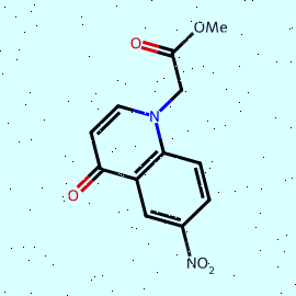 COC(=O)Cn1ccc(=O)c2cc([N+](=O)[O-])ccc21